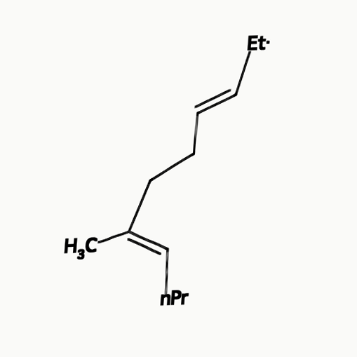 C[CH]C=CCCC(C)=CCCC